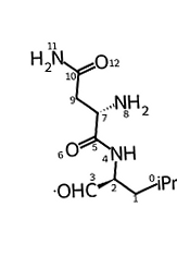 CC(C)C[C@@H]([C]=O)NC(=O)[C@@H](N)CC(N)=O